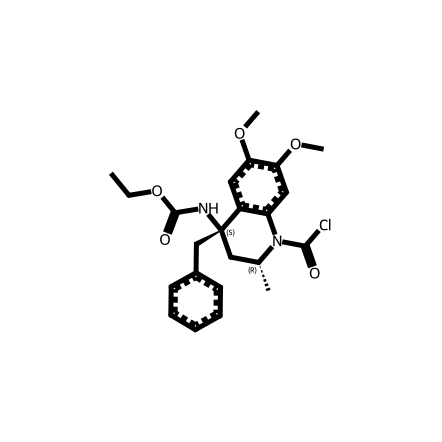 CCOC(=O)N[C@@]1(Cc2ccccc2)C[C@@H](C)N(C(=O)Cl)c2cc(OC)c(OC)cc21